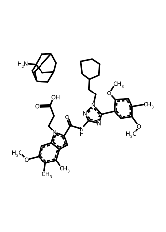 COc1cc(-c2nc(NC(=O)c3cc4c(C)c(C)c(OC)cc4n3CCC(=O)O)nn2CCC2CCCCC2)c(OC)cc1C.NC12CC3CC(CC(C3)C1)C2